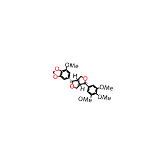 COc1cc([C@@H]2OC[C@H]3[C@@H]2CO[C@@H]3c2cc(OC)c3c(c2)OCO3)cc(OC)c1OC